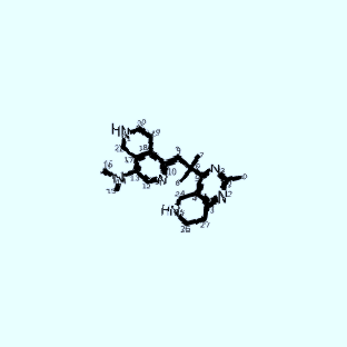 Cc1nc2c(c(C(C)(C)Cc3ncc(N(C)C)c4c3CCNC4)n1)CNCC2